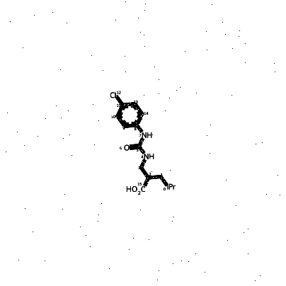 CC(C)CC(CNC(=O)Nc1ccc(Cl)cc1)C(=O)O